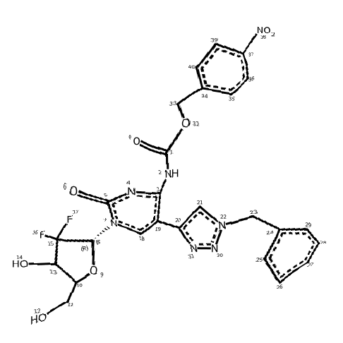 O=C(Nc1nc(=O)n([C@@H]2OC(CO)C(O)C2(F)F)cc1-c1cn(Cc2ccccc2)nn1)OCc1ccc([N+](=O)[O-])cc1